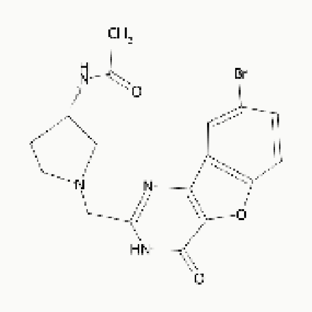 CC(=O)N[C@H]1CCN(Cc2nc3c(oc4ccc(Br)cc43)c(=O)[nH]2)C1